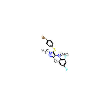 Cn1nc(C(F)(F)F)c(N(C=O)c2ccc(F)cc2F)c1Sc1ccc(Br)cc1